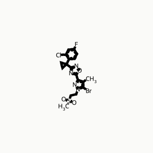 Cc1c(-c2nc(C3(c4ccc(F)cc4Cl)CC3)no2)nn(CCS(C)(=O)=O)c1Br